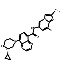 Cc1cn2cc(NC(=O)c3ccc(N4CCN[C@H](C5CC5)C4)c4nccnc34)cc(F)c2n1